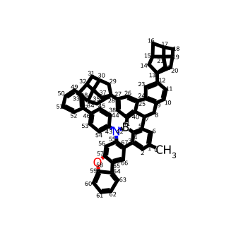 Cc1cc2c3c(c1)C1Cc4ccc(C56CC7CC8CC(C5)C87C6)cc4-c4cc(C56CC7CC8CC(C5)C87C6)cc(c41)B3N(c1ccc(-c3ccccc3)cc1)c1cc3oc4ccccc4c3cc1-2